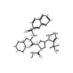 CNC(=O)[C@@H]1C[C@H](N2NNC=C2C(C)(C)O)CN1C(=O)[C@@H](CC1CCCCC1)NC(=O)c1ccc2ccccc2c1